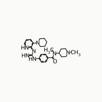 CN1CCC(N(C)C(=O)c2ccc(NC(=N)/N=c3\[nH]cccc3N3CCCCC3)cc2)CC1